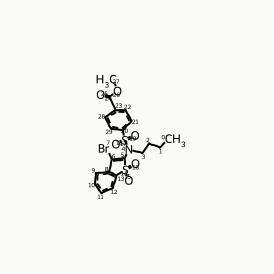 CCCCN(C1=C(Br)c2ccccc2S1(=O)=O)S(=O)(=O)c1ccc(C(=O)OC)cc1